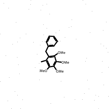 COc1c(C)c(Cc2c[c]ccc2)c(OC)c(OC)c1OC